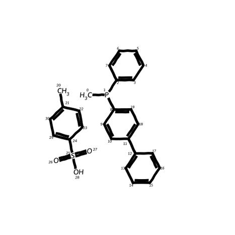 CP(c1ccccc1)c1ccc(-c2ccccc2)cc1.Cc1ccc(S(=O)(=O)O)cc1